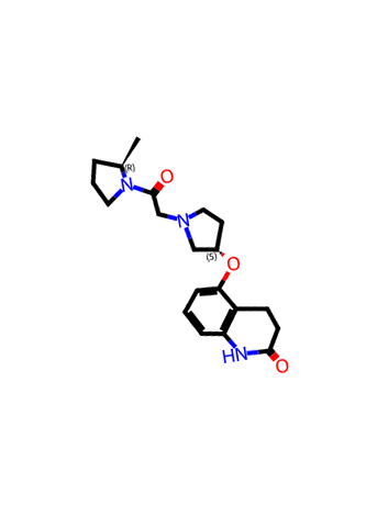 C[C@@H]1CCCN1C(=O)CN1CC[C@H](Oc2cccc3c2CCC(=O)N3)C1